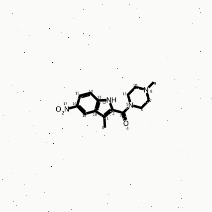 Cc1c(C(=O)N2CCN(C)CC2)[nH]c2ccc([N+](=O)[O-])cc12